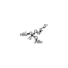 CCCCOP(=S)(OCCCC)ON=C=S